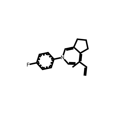 C=C/C(C)=C1\CCC\C1=C\N(C=C)c1ccc(F)cc1